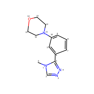 Cn1cnnc1-c1cccc(N2CCOCC2)c1